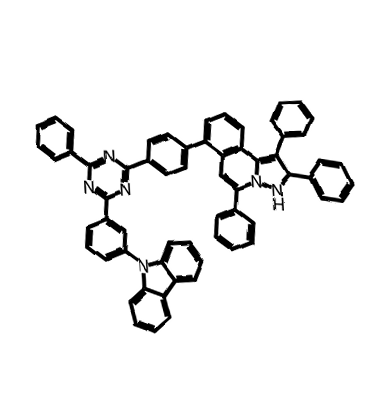 C1=C(c2ccccc2)N2NC(c3ccccc3)C(c3ccccc3)=C2c2cccc(-c3ccc(-c4nc(-c5ccccc5)nc(-c5cccc(-n6c7ccccc7c7ccccc76)c5)n4)cc3)c21